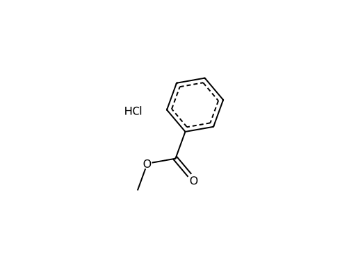 COC(=O)c1ccccc1.Cl